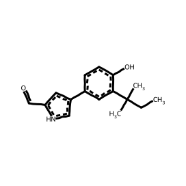 CCC(C)(C)c1cc(-c2c[nH]c(C=O)c2)ccc1O